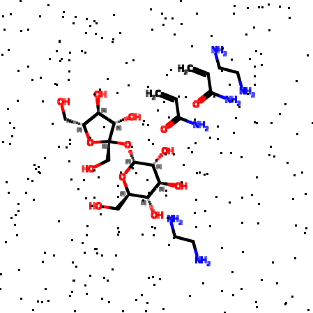 C=CC(N)=O.C=CC(N)=O.NCCN.NCCN.OC[C@H]1O[C@@](CO)(O[C@H]2O[C@H](CO)[C@@H](O)[C@H](O)[C@H]2O)[C@@H](O)[C@@H]1O